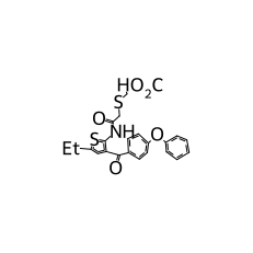 CCc1cc(C(=O)c2ccc(Oc3ccccc3)cc2)c(NC(=O)CSCC(=O)O)s1